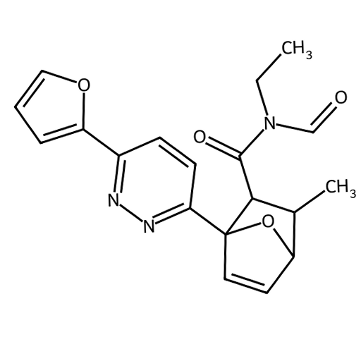 CCN(C=O)C(=O)C1C(C)C2C=CC1(c1ccc(-c3ccco3)nn1)O2